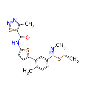 C=CS/C(=N\C)c1ccc(C)c(-c2ccc(NC(=O)c3snnc3C)s2)c1